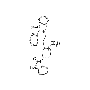 COc1ccccc1CN(CCC1CC(n2c(=O)[nH]c3ccccc32)CCN1C(=O)O)Cc1ccccc1